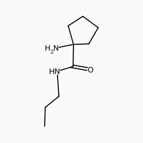 CCCNC(=O)C1(N)CCCC1